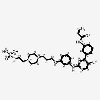 C=CC(=O)Nc1cccc(-c2nc(Nc3cccc(OCCCN4CCN(CCOP(=O)(O)O)CC4)c3)ncc2Cl)c1